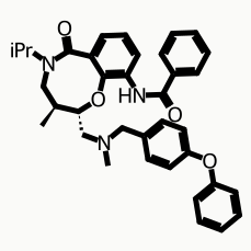 CC(C)N1C[C@H](C)[C@@H](CN(C)Cc2ccc(Oc3ccccc3)cc2)Oc2c(NC(=O)c3ccccc3)cccc2C1=O